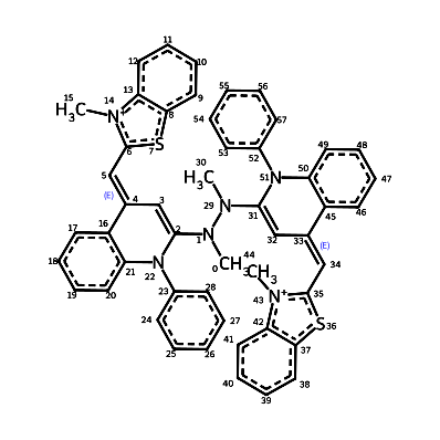 CN(C1=C/C(=C\c2sc3ccccc3[n+]2C)c2ccccc2N1c1ccccc1)N(C)C1=C/C(=C\c2sc3ccccc3[n+]2C)c2ccccc2N1c1ccccc1